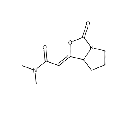 CN(C)C(=O)C=C1OC(=O)N2CCCC12